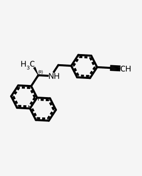 C#Cc1ccc(CN[C@H](C)c2cccc3ccccc23)cc1